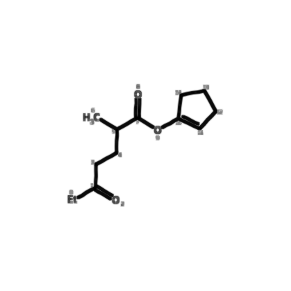 CCC(=O)CCC(C)C(=O)OC1=CCCC1